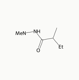 CCC(C)C(=O)NNC